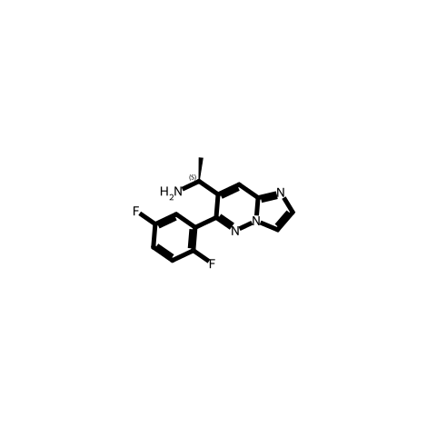 C[C@H](N)c1cc2nccn2nc1-c1cc(F)ccc1F